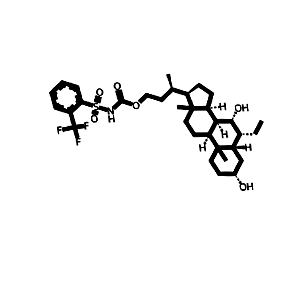 CC[C@H]1[C@@H](O)[C@@H]2[C@@H]3CC[C@H]([C@H](C)CCOC(=O)NS(=O)(=O)c4ccccc4C(F)(F)F)C3(C)CC[C@@H]2C2(C)CC[C@@H](O)C[C@@H]12